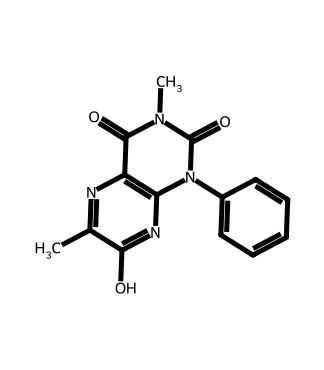 Cc1nc2c(=O)n(C)c(=O)n(-c3ccccc3)c2nc1O